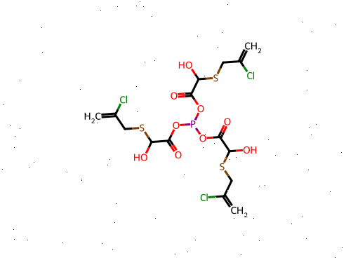 C=C(Cl)CSC(O)C(=O)OP(OC(=O)C(O)SCC(=C)Cl)OC(=O)C(O)SCC(=C)Cl